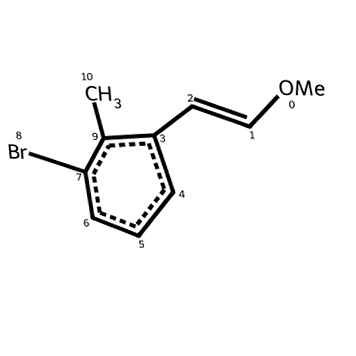 COC=Cc1cccc(Br)c1C